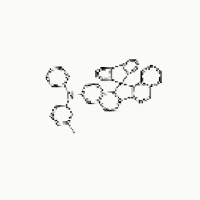 Cc1cccc(N(c2ccccc2)c2ccc3c4c(ccc3c2)-c2ccc3ccccc3c2C42c3ccccc3-c3ccccc32)c1